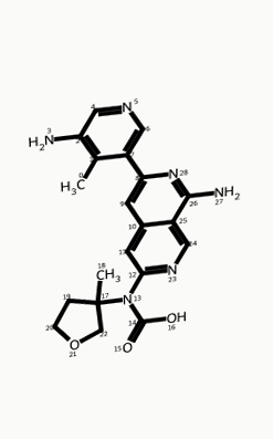 Cc1c(N)cncc1-c1cc2cc(N(C(=O)O)C3(C)CCOC3)ncc2c(N)n1